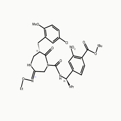 CCC[C@@H](NC(=O)N1C/C(=N/OCC)NC[C@H](Cc2cc(Cl)ccc2OC)C1=O)c1ccc(C(=O)OC(C)(C)C)c([N+](=O)[O-])c1